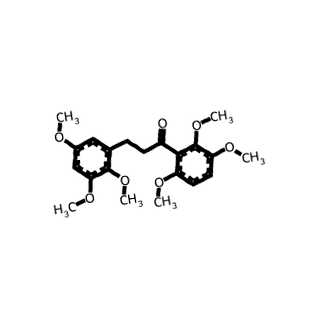 COc1cc(CCC(=O)c2c(OC)ccc(OC)c2OC)c(OC)c(OC)c1